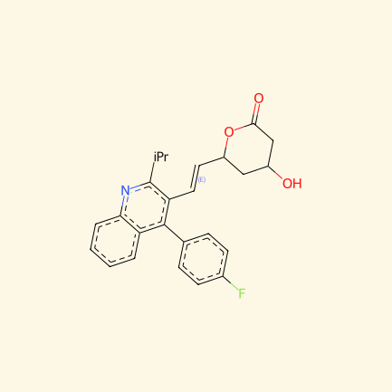 CC(C)c1nc2ccccc2c(-c2ccc(F)cc2)c1/C=C/C1CC(O)CC(=O)O1